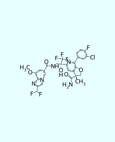 COc1cc(C(=O)NC[C@](O)(c2cc3c(c(-c4ccc(F)c(Cl)c4)n2)OC[C@]3(C)C(N)=O)C(F)(F)F)cn2cc(C(F)F)nc12